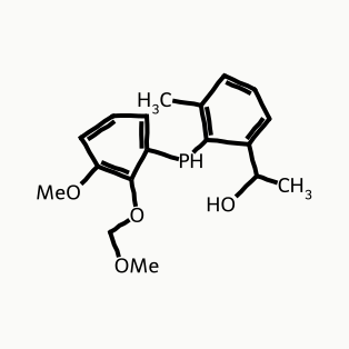 COCOc1c(OC)cccc1Pc1c(C)cccc1C(C)O